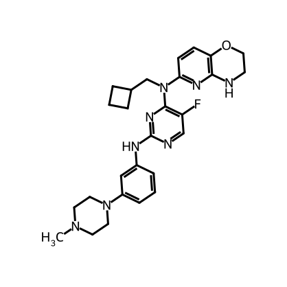 CN1CCN(c2cccc(Nc3ncc(F)c(N(CC4CCC4)c4ccc5c(n4)NCCO5)n3)c2)CC1